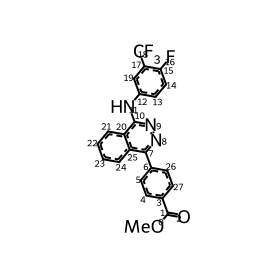 COC(=O)c1ccc(-c2nnc(Nc3ccc(F)c(C(F)(F)F)c3)c3ccccc23)cc1